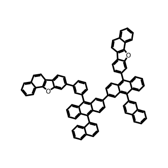 c1cc(-c2ccc3c(c2)oc2c4ccccc4ccc32)cc(-c2c3ccccc3c(-c3cccc4ccccc34)c3ccc(-c4ccc5c(-c6ccc7c(c6)oc6c8ccccc8ccc76)c6ccccc6c(-c6ccc7ccccc7c6)c5c4)cc23)c1